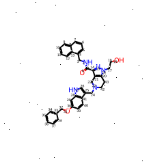 O=C(NCc1cccc2ccccc12)c1nn(CCO)c2c1CN(Cc1c[nH]c3cc(OCc4ccccc4)ccc13)CC2